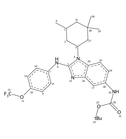 CC1CC(n2c(Nc3ccc(OC(F)(F)F)cc3)nc3cc(NC(=O)OC(C)(C)C)ccc32)CC(C)(C)C1